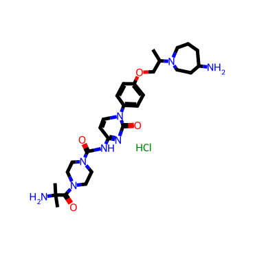 CC(COc1ccc(-n2ccc(NC(=O)N3CCN(C(=O)C(C)(C)N)CC3)nc2=O)cc1)N1CCCC(N)CC1.Cl